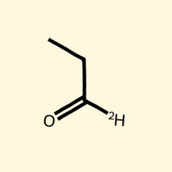 [2H]C(=O)CC